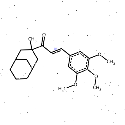 COc1cc(/C=C/C(=O)C2(C)CC3CCCC(C3)C2)cc(OC)c1OC